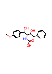 COc1ccc([C@H](O)[C@H](NC(=O)O)C(O)Cc2ccccc2)cc1